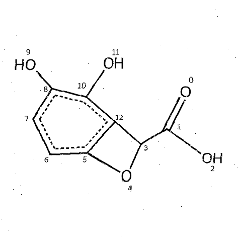 O=C(O)C1Oc2ccc(O)c(O)c21